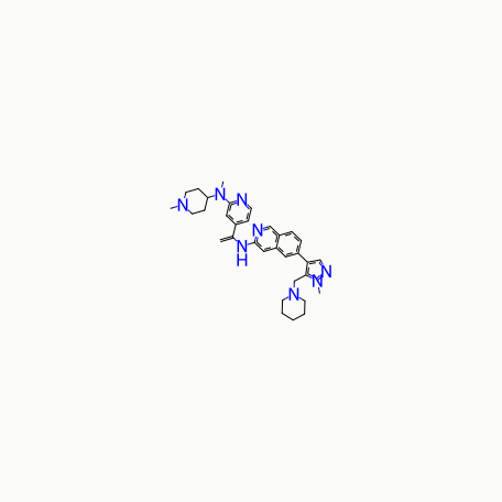 C=C(Nc1cc2cc(-c3cnn(C)c3CN3CCCCC3)ccc2cn1)c1ccnc(N(C)C2CCN(C)CC2)c1